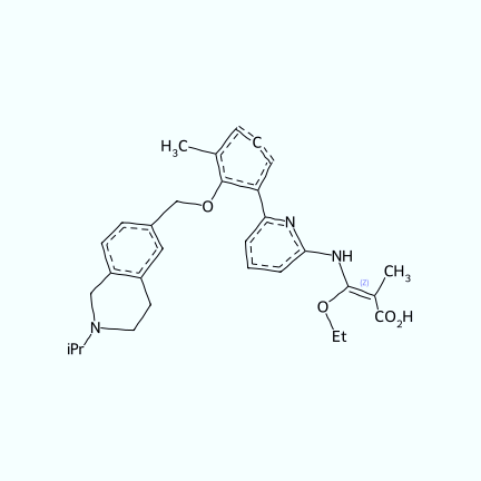 CCO/C(Nc1cccc(-c2cccc(C)c2OCc2ccc3c(c2)CCN(C(C)C)C3)n1)=C(/C)C(=O)O